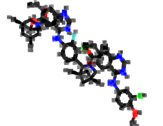 C=CC(=O)N1C[C@H]2C[C@@H](C1)[C@H]2Oc1cc2c(Nc3ccc(C4[C@H]5C[C@@H](CN4C(=O)C=C)[C@H]5Oc4cc5c(Nc6ccc(OC(F)(F)F)c(Cl)c6)ncnc5cc4OC)c(Cl)c3F)ncnc2cc1OC